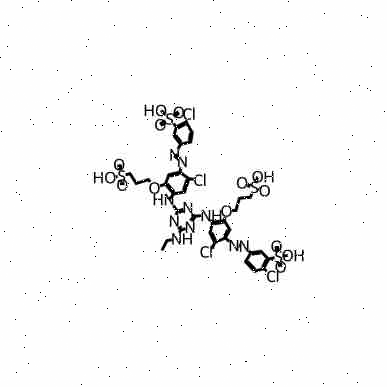 CCNc1nc(Nc2cc(Cl)c(N=Nc3ccc(Cl)c(S(=O)(=O)O)c3)cc2OCCCS(=O)(=O)O)nc(Nc2cc(Cl)c(N=Nc3ccc(Cl)c(S(=O)(=O)O)c3)cc2OCCCS(=O)(=O)O)n1